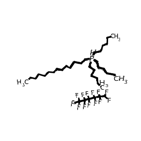 CCCCCCCCCCCCCC[PH](CCCCCC)(CCCCCC)CCCCCC.FC(F)C(F)(F)C(F)(F)C(F)(F)C(F)(F)C(F)(F)F